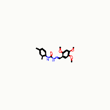 COc1cc(OC)c(OC)cc1C=NNC(=O)Nc1ccc(C)cc1C